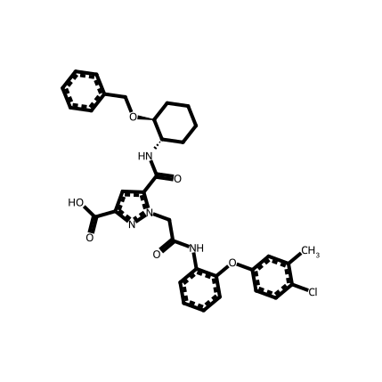 Cc1cc(Oc2ccccc2NC(=O)Cn2nc(C(=O)O)cc2C(=O)N[C@H]2CCCC[C@@H]2OCc2ccccc2)ccc1Cl